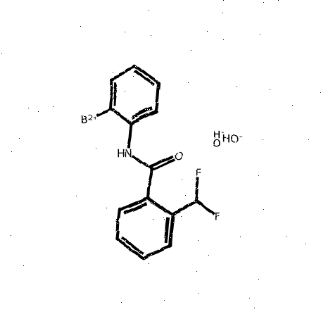 [B+2]c1ccccc1NC(=O)c1ccccc1C(F)F.[OH-].[OH-]